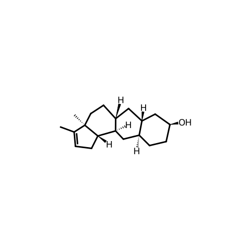 CC1=CC[C@H]2[C@@H]3C[C@@H]4CC[C@H](O)C[C@H]4C[C@H]3CC[C@]12C